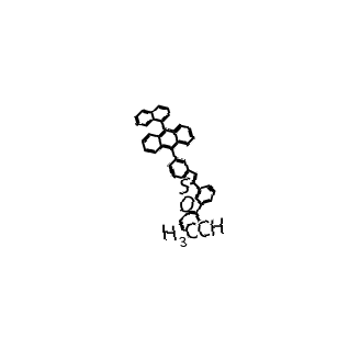 C#Cc1c(/C=C\C)oc2c(-c3cc4cc(-c5c6ccccc6c(-c6cccc7ccccc67)c6ccccc56)ccc4s3)cccc12